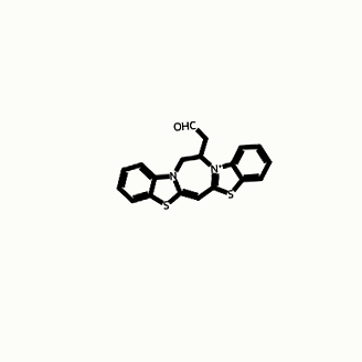 O=CCC1CN2C(=Cc3sc4ccccc4[n+]31)Sc1ccccc12